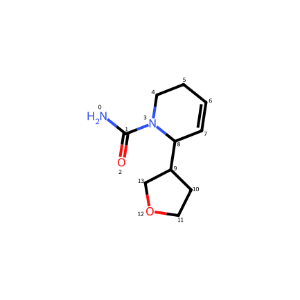 NC(=O)N1CCC=CC1C1CCOC1